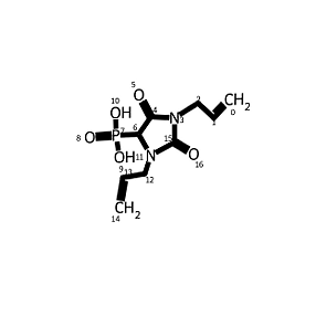 C=CCN1C(=O)C(P(=O)(O)O)N(CC=C)C1=O